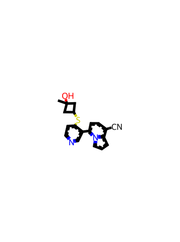 CC1(O)CC(Sc2ccncc2-c2ccc(C#N)c3cccn23)C1